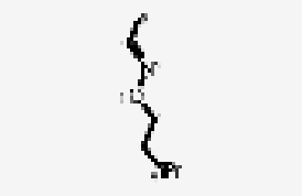 [CH2]C=NOCCC(C)C